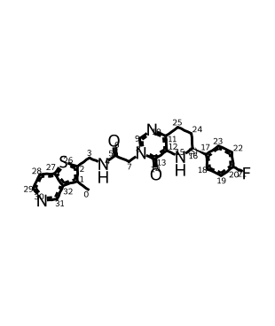 Cc1c(CNC(=O)Cn2cnc3c(c2=O)N[C@H](c2ccc(F)cc2)CC3)sc2ccncc12